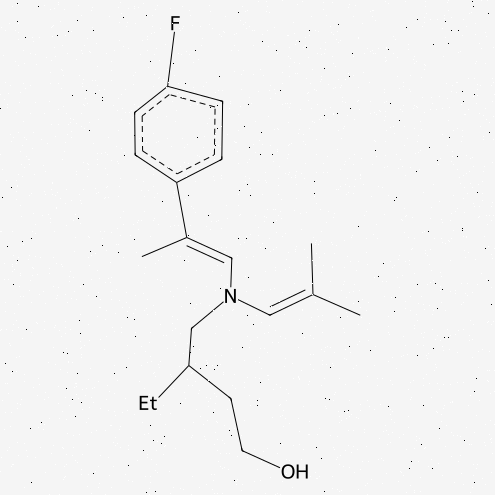 CCC(CCO)CN(C=C(C)C)/C=C(\C)c1ccc(F)cc1